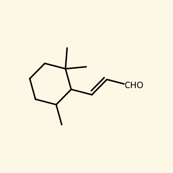 CC1CCCC(C)(C)C1C=CC=O